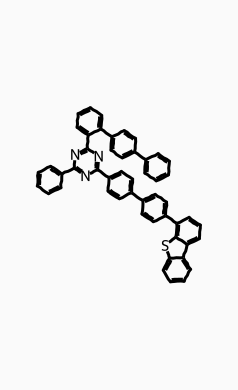 c1ccc(-c2ccc(-c3ccccc3-c3nc(-c4ccccc4)nc(-c4ccc(-c5ccc(-c6cccc7c6sc6ccccc67)cc5)cc4)n3)cc2)cc1